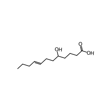 CCC/C=C/CCC(O)CCCC(=O)O